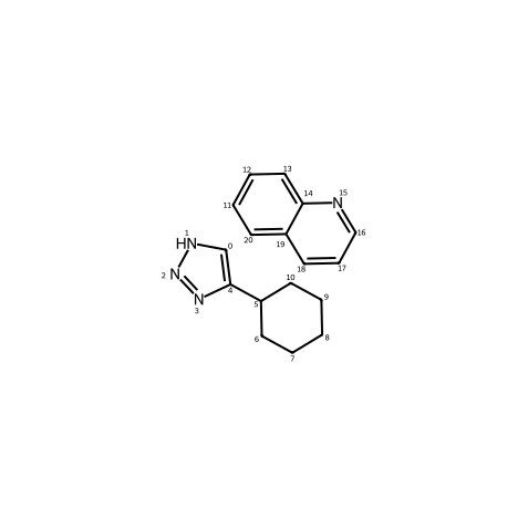 c1[nH]nnc1C1CCCCC1.c1ccc2ncccc2c1